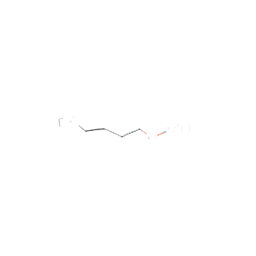 O=S(=O)(O)OCCCCC(F)(F)F